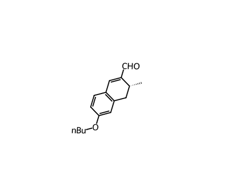 CCCCOc1ccc2c(c1)C[C@@H](C)C(C=O)=C2